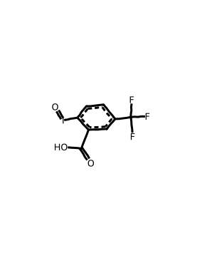 O=Ic1ccc(C(F)(F)F)cc1C(=O)O